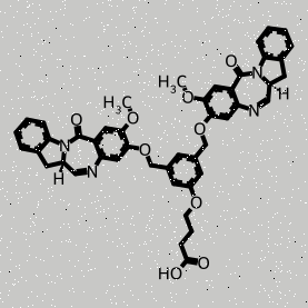 COc1cc2c(cc1OCc1cc(COc3cc4c(cc3OC)C(=O)N3c5ccccc5C[C@H]3C=N4)cc(OCCCC(=O)O)c1)N=C[C@@H]1Cc3ccccc3N1C2=O